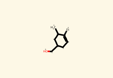 CCC1=CCC(CO)CC1C